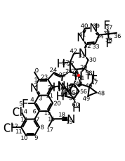 Cc1nc2c(F)c(-c3cccc(Cl)c3Cl)c(C(C)C#N)cc2c2c1cc([C@H]1[C@H]3C[C@H](CN(c4cc(C(C)(F)F)ncn4)C3)N1C(=O)C1(F)CC1)n2[C@H]1[C@H]2CN[C@@H]1C2